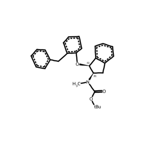 CN(C(=O)OC(C)(C)C)[C@@H]1Cc2ccccc2[C@@H]1Oc1ccccc1Cc1ccccc1